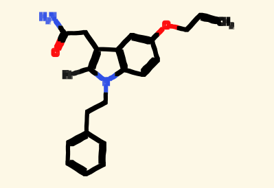 C=CCOc1ccc2c(c1)c(CC(N)=O)c(CC)n2CCc1ccccc1